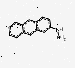 NNc1ccc2cc3ccccc3cc2c1